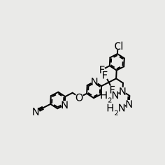 N#Cc1ccc(COc2ccc(C(F)(F)C(CN(N)/C=N\N)c3ccc(Cl)cc3F)nc2)nc1